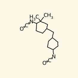 CC1(C)CC(CC2CCC(N=C=O)CC2)CCC1N=C=O